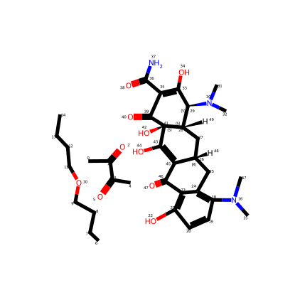 CC(=O)C(C)=O.CCCCOCCCC.CN(C)c1ccc(O)c2c1C[C@H]1C[C@H]3[C@H](N(C)C)C(O)=C(C(N)=O)C(=O)[C@@]3(O)C(O)=C1C2=O